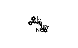 CC(C)C(C#N)(CCCN(C)C(=O)CNCC(c1ccccc1)c1ccccc1)c1ccccc1